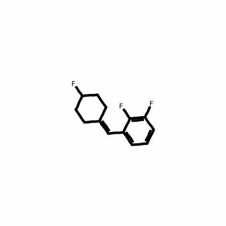 Fc1cccc(C=C2CCC(F)CC2)c1F